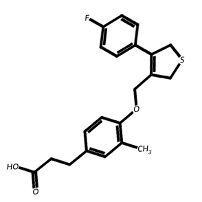 Cc1cc(CCC(=O)O)ccc1OCC1=C(c2ccc(F)cc2)CSC1